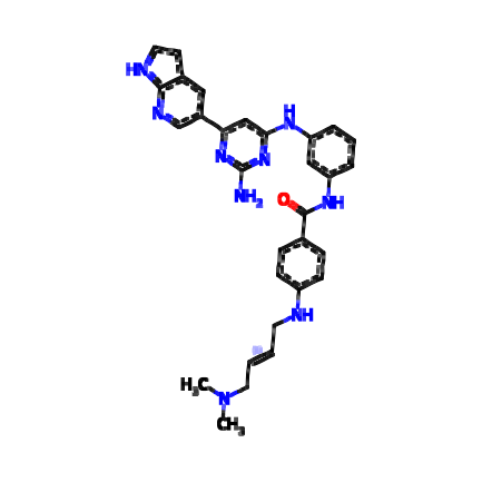 CN(C)C/C=C/CNc1ccc(C(=O)Nc2cccc(Nc3cc(-c4cnc5[nH]ccc5c4)nc(N)n3)c2)cc1